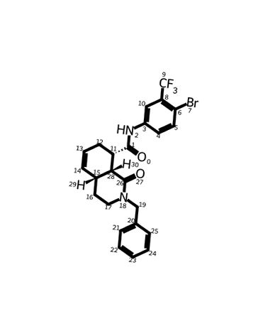 O=C(Nc1ccc(Br)c(C(F)(F)F)c1)[C@H]1CC=C[C@H]2CCN(Cc3ccccc3)C(=O)[C@@H]12